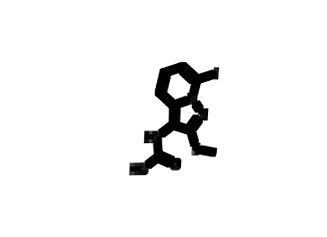 CSc1nn2c(I)cccc2c1NC(=O)O